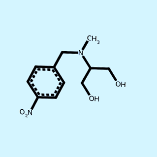 CN(Cc1ccc([N+](=O)[O-])cc1)C(CO)CO